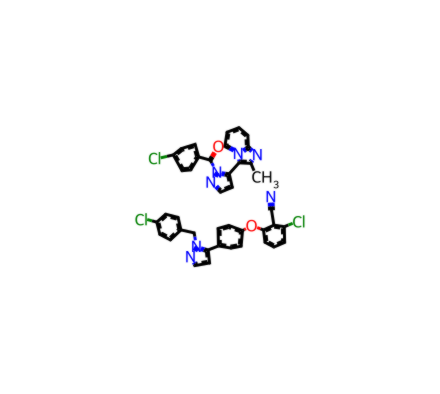 Cc1nc2ccccn2c1-c1ccnn1C(=O)c1ccc(Cl)cc1.N#Cc1c(Cl)cccc1Oc1ccc(-c2ccnn2Cc2ccc(Cl)cc2)cc1